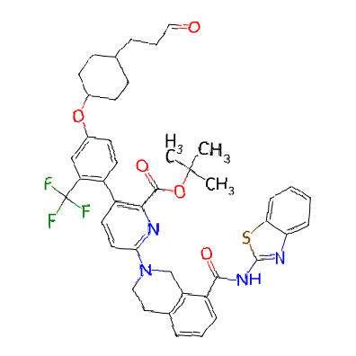 CC(C)(C)OC(=O)c1nc(N2CCc3cccc(C(=O)Nc4nc5ccccc5s4)c3C2)ccc1-c1ccc(OC2CCC(CCC=O)CC2)cc1C(F)(F)F